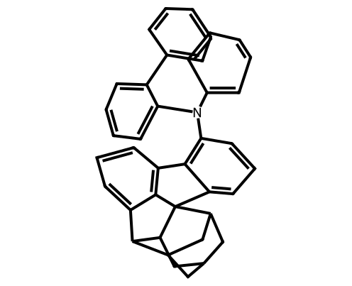 c1ccc(-c2ccccc2N(c2ccccc2)c2cccc3c2-c2cccc4c2C32C3CC5CC(C3)C4C2C5)cc1